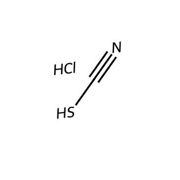 Cl.N#CS